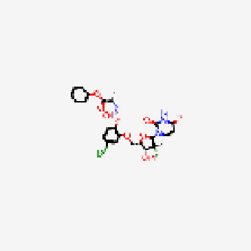 C[C@H](/N=[P+](\[O-])Oc1ccc(Br)cc1OC[C@H]1OC(n2ccc(=O)[nH]c2=O)[C@](C)(F)[C@@H]1O)C(=O)OC1CCCCC1